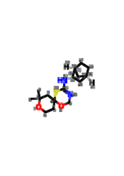 CC1(C)CC2(CCO1)OCN=C(N[C@H]1C[C@@H]3CC[C@H]1C3)S2